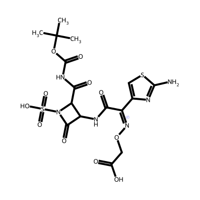 CC(C)(C)OC(=O)NC(=O)C1C(NC(=O)/C(=N\OCC(=O)O)c2csc(N)n2)C(=O)N1S(=O)(=O)O